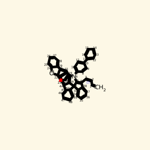 C=C/C=C\C1=C(N(c2ccc(-c3ccccc3)cc2)c2ccc3oc4ccccc4c3c2)C2(c3ccccc31)c1ccccc1-c1ccccc12